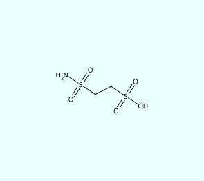 NS(=O)(=O)CCS(=O)(=O)O